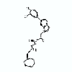 O=C(Cn1ccc2ccc(-c3ccc(Cl)c(Cl)c3)cc21)NCCNCC1CCCCC1